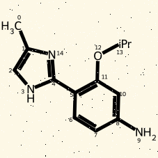 Cc1c[nH]c(-c2ccc(N)cc2OC(C)C)n1